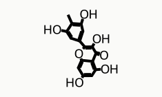 Cc1c(O)cc(-c2oc3cc(O)cc(O)c3c(=O)c2O)cc1O